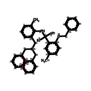 CCCC(CC)(Pc1c(C)cccc1CN(Cc1ccccc1)Cc1ccccc1)c1cc(C)ccc1OCc1ccccc1